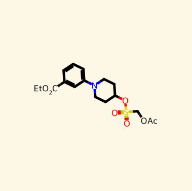 CCOC(=O)c1cccc(N2CCC(OS(=O)(=O)COC(C)=O)CC2)c1